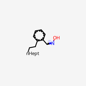 CCCCCCCCCc1ccccc1/C=N\O